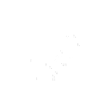 COc1ncnc2cc3c(cc12)N(C)C(=O)[C@@H](NC(=O)c1n[nH]c(Cc2c(F)cc(F)cc2F)n1)CO3